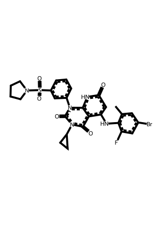 Cc1cc(Br)cc(F)c1Nc1cc(=O)[nH]c2c1c(=O)n(C1CC1)c(=O)n2-c1cccc(S(=O)(=O)N2CCCC2)c1